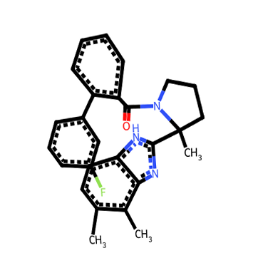 Cc1ccc2[nH]c(C3(C)CCCN3C(=O)c3ccccc3-c3cccc(F)c3)nc2c1C